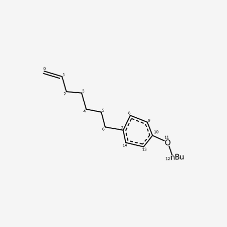 C=CCCCCCc1ccc(OCCCC)cc1